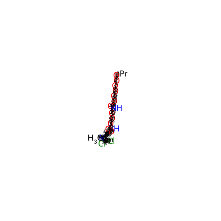 CCCOCCOCCOCCOCCOCCOCCC(=O)NCCOCCOCCOCCNS(=O)(=O)c1ccc(C2CN(C)Cc3c(Cl)cc(Cl)cc32)cc1